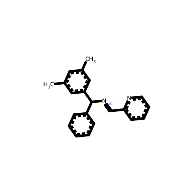 Cc1cc(C)cc(C(/N=C/c2ccccn2)c2ccccc2)c1